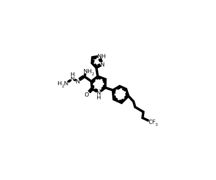 NN/N=C(\N)c1c(-c2cc[nH]n2)cc(-c2ccc(CCCCC(F)(F)F)cc2)[nH]c1=O